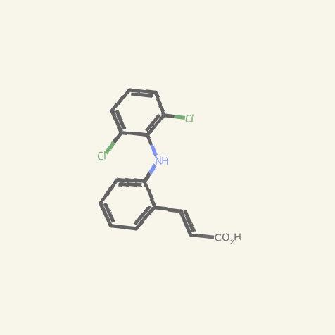 O=C(O)/C=C/c1ccccc1Nc1c(Cl)cccc1Cl